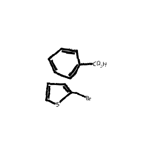 Brc1cccs1.O=C(O)c1ccccc1